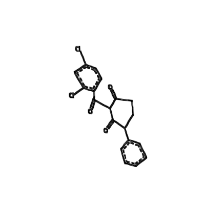 O=C1CCC(c2ccccc2)C(=O)C1C(=O)c1ccc(Cl)cc1Cl